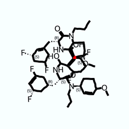 CCCN(C(=O)[C@@H](CC1=C[C@@H](F)CC(F)C1)NC(O)C1=C(C(O)N[C@@H](C[C@H]2CC(F)=C[C@@H](F)C2)C(=O)N(CCC)[C@@H]2C=CC(OC)CC2)C(F)CC[C@@H]1F)C1C=C[C@@H](OC)CC1